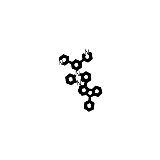 c1ccc(C2c3ccccc3-c3c2ccc2c3c3cccc4c3n2-c2ccccc2N4c2cc(-c3cccnc3)cc(-c3cccnc3)c2)cc1